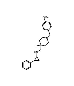 COc1ccc(CN2CCC(F)(CNC3CC3c3ccccc3)CC2)cc1